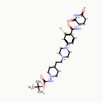 CC(C)(C)OC(=O)NN1CCC(CCN2CCN(c3ccc(C(=O)N[C@H]4CCC(=O)NC4=O)c(F)c3)CC2)CC1